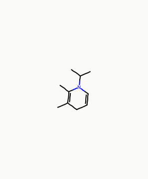 CC1=C(C)N(C(C)C)C=CC1